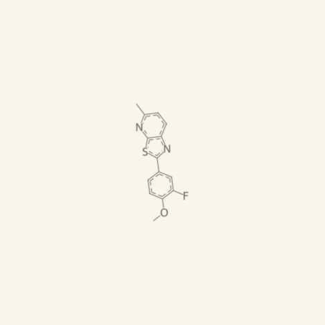 COc1ccc(-c2nc3ccc(C)nc3s2)cc1F